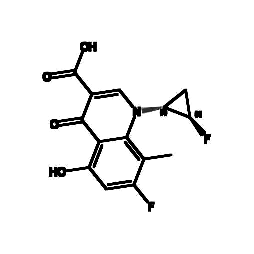 Cc1c(F)cc(O)c2c(=O)c(C(=O)O)cn([C@@H]3C[C@H]3F)c12